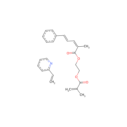 C=C(C)C(=O)OCCOC(=O)C(C)=CC=Cc1ccccc1.C=Cc1ccccn1